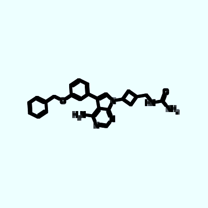 NC(=O)NCC1CC(n2cc(-c3cccc(OCc4ccccc4)c3)c3c(N)ncnc32)C1